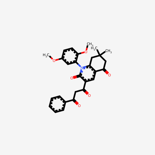 COc1ccc(OC)c(-n2c3c(cc(C(=O)CC(=O)c4ccccc4)c2=O)C(=O)CC(C)(C)C3)c1